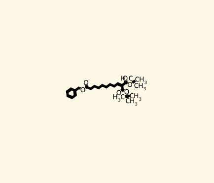 CC(C)(C)OC(=O)C(=CCCCCCCCC(=O)OCc1ccccc1)C(=O)OC(C)(C)C